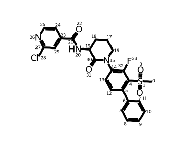 CS(=O)(=O)c1c(-c2ccccc2)ccc(N2CCCC(NC(=O)c3ccnc(Cl)c3)C2=O)c1F